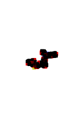 C1=C(c2cc(-c3ccc(-c4ccccc4)cc3)nc(-c3ccccc3)n2)CCC(n2c3ccccc3c3cc(-c4ccc5sc6cc7c8c(cccc8c6c5c4)-c4ccccc4-7)ccc32)=C1